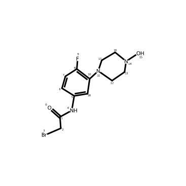 O=C(CBr)Nc1ccc(F)c(N2CCN(O)CC2)c1